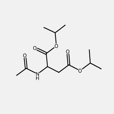 CC(=O)NC(CC(=O)OC(C)C)C(=O)OC(C)C